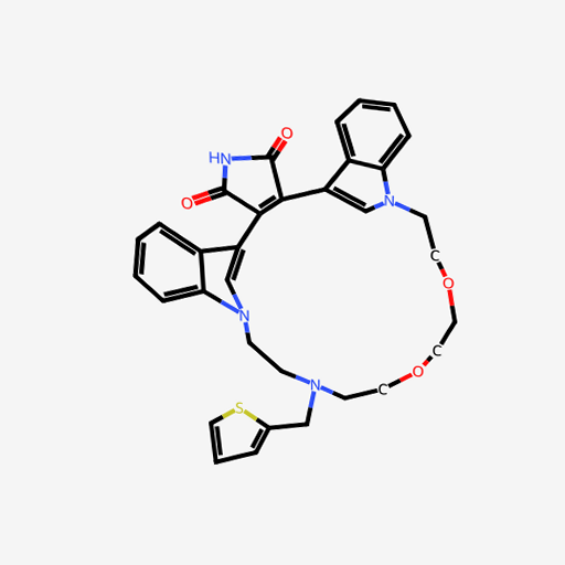 O=C1NC(=O)C2=C1c1cn(c3ccccc13)CCOCCOCCN(Cc1cccs1)CCn1cc2c2ccccc21